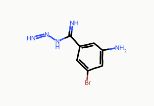 N=NNC(=N)c1cc(N)cc(Br)c1